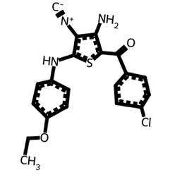 [C-]#[N+]c1c(Nc2ccc(OCC)cc2)sc(C(=O)c2ccc(Cl)cc2)c1N